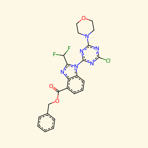 O=C(OCc1ccccc1)c1cccc2c1nc(C(F)F)n2-c1nc(Cl)nc(N2CCOCC2)n1